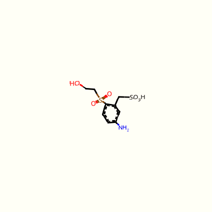 Nc1ccc(S(=O)(=O)CCO)c(CS(=O)(=O)O)c1